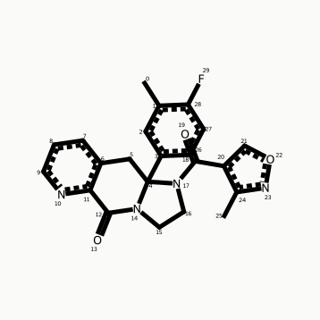 Cc1cc(C23Cc4cccnc4C(=O)N2CCN3C(=O)c2conc2C)ccc1F